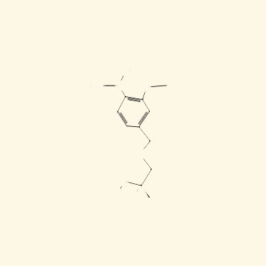 CCOc1cc(COC[C@@H](C)OCC)ccc1B(O)O